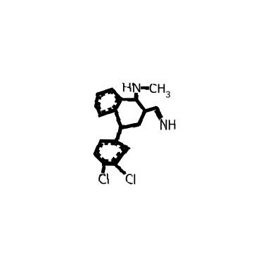 CNC1c2ccccc2C(c2ccc(Cl)c(Cl)c2)CC1C=N